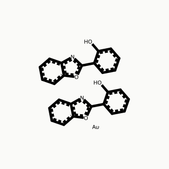 Oc1ccccc1-c1nc2ccccc2o1.Oc1ccccc1-c1nc2ccccc2o1.[Au]